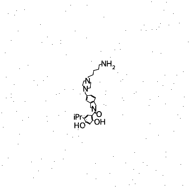 CC(C)c1cc(C(=O)N2Cc3ccc(CN4CCN(CCCCCN)CC4)cc3C2)c(O)cc1O